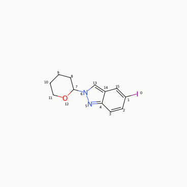 Ic1ccc2nn(C3CCCCO3)cc2c1